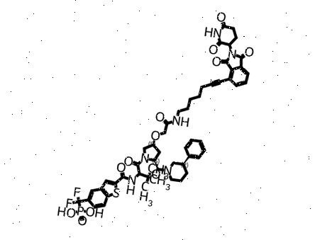 CC(C)(C)C(NC(=O)c1cc2cc(C(F)(F)P(=O)(O)O)ccc2s1)C(=O)N1C[C@@H](OCC(=O)NCCCCCC#Cc2cccc3c2C(=O)N(C2CCC(=O)NC2=O)C3=O)C[C@H]1C(=O)N1CCC[C@H](c2ccccc2)C1